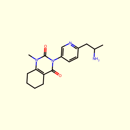 CC(N)Cc1ccc(-n2c(=O)c3c(n(C)c2=O)CCCC3)cn1